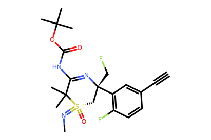 C#Cc1ccc(F)c([C@]2(CF)C[S@](=O)(=NC)C(C)(C)C(NC(=O)OC(C)(C)C)=N2)c1